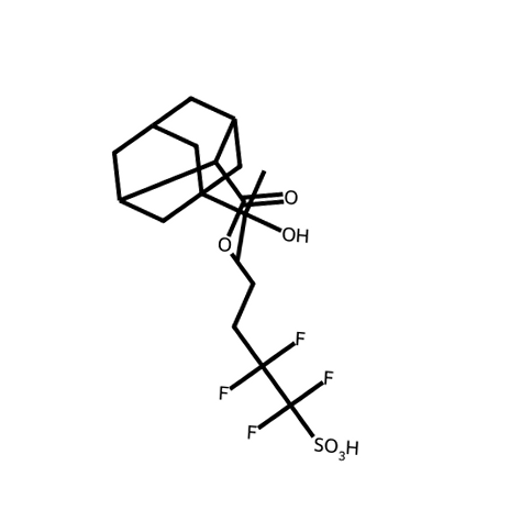 CC(C)(O)C12CC3CC(C1)C(C(=O)OCCC(F)(F)C(F)(F)S(=O)(=O)O)C(C3)C2